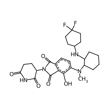 CN(c1ccc2c(c1O)C(=O)N(C1CCC(=O)NC1=O)C2=O)C1CCCCC1NC1CCC(F)(F)CC1